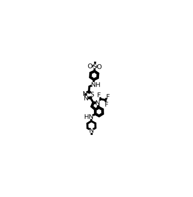 CN1CCC(Nc2cccc3c2cc(-c2nnc(CNc4ccc(S(C)(=O)=O)cc4)s2)n3C(F)C(F)F)CC1